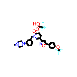 CN1CCN(c2cccc(Cn3cc(-c4cc(-c5ccc(OC(F)(F)F)cc5)on4)ccc3=O)c2)CC1.O=C(O)C(F)(F)F